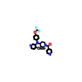 COc1ccncc1N(c1ccc(OC(F)F)cc1)C1CCN(C(=O)c2ccncc2)CC1